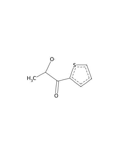 CC([O])C(=O)c1cccs1